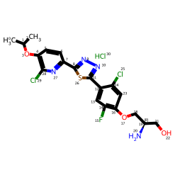 CC(C)Oc1ccc(-c2nnc(-c3cc(F)c(OC[C@H](N)CO)cc3Cl)s2)nc1Cl.Cl